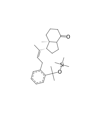 C/C(=C/Cc1ccccc1C(C)(C)O[Si](C)(C)C)[C@H]1CCC2C(=O)CCC[C@@]21C